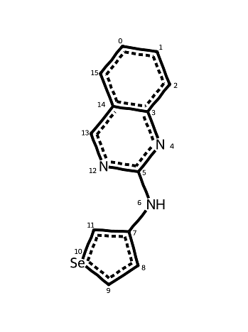 c1ccc2nc(Nc3cc[se]c3)ncc2c1